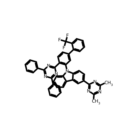 Cc1nc(C)nc(-c2ccc3c(c2)c2ccccc2n3-c2cc(-c3ccccc3C(F)(F)F)ccc2-c2nc(-c3ccccc3)nc(-c3ccccc3)n2)n1